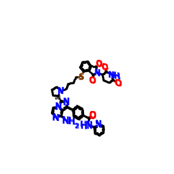 Nc1nccn2c([C@@H]3CCCN3CCCCSc3cccc4c3C(=O)N(C3CCC(=O)NC3=O)C4=O)nc(-c3ccc(C(=O)Nc4ccccn4)cc3)c12